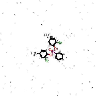 Cc1ccc(OP(=O)(Oc2ccc(C)cc2Br)c2ccccc2)c(Br)c1